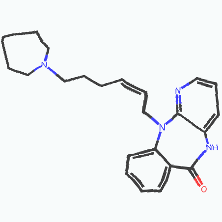 O=C1Nc2cccnc2N(C/C=C\CCCN2CCCCC2)c2ccccc21